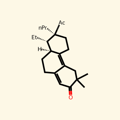 CCC[C@]1(C(C)=O)CCC2=C3CC(C)(C)C(=O)C=C3CC[C@H]2[C@@H]1CC